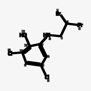 CC(C)C(Br)CNc1cc(Cl)cc(Cl)c1O